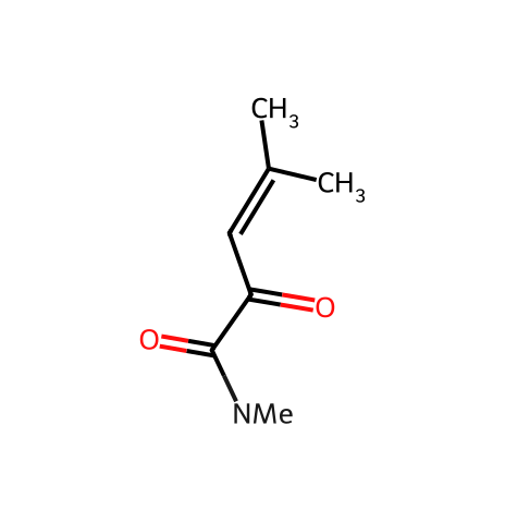 CNC(=O)C(=O)C=C(C)C